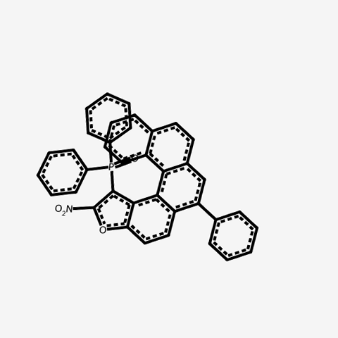 O=[N+]([O-])c1oc2ccc3c(-c4ccccc4)cc4ccc5ccccc5c4c3c2c1P(=O)(c1ccccc1)c1ccccc1